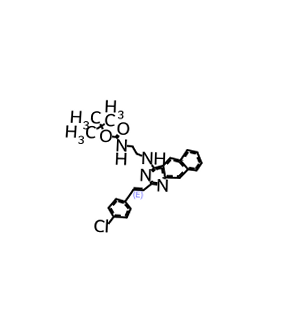 CC(C)(C)OC(=O)NCCNc1nc(/C=C/c2ccc(Cl)cc2)nc2cc3ccccc3cc12